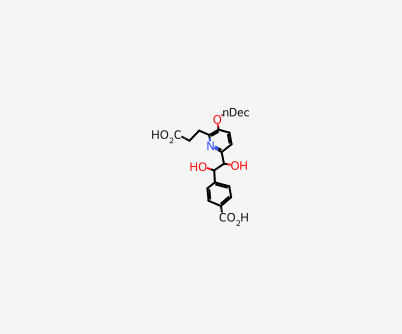 CCCCCCCCCCOc1ccc(C(O)C(O)c2ccc(C(=O)O)cc2)nc1CCC(=O)O